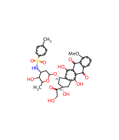 COc1cccc2c1C(=O)c1c(O)c3c(c(O)c1C2=O)C[C@@](O)(C(=O)CO)C[C@@H]3OC1CC(NS(=O)(=O)c2ccc(C)cc2)C(O)C(C)O1